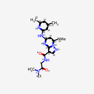 CCN(C)C(=O)CNC(=O)c1cnn2c(NC)cc(Nc3cc(C)cc(C)n3)nc12